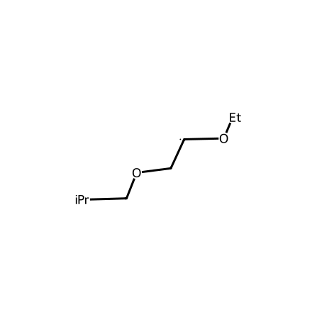 CCO[CH]COCC(C)C